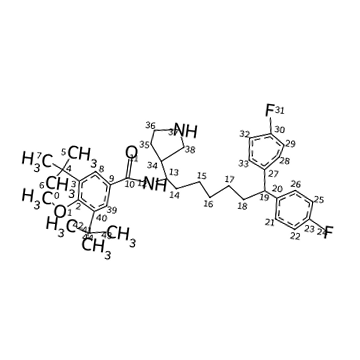 COc1c(C(C)(C)C)cc(C(=O)NC(CCCCCC(c2ccc(F)cc2)c2ccc(F)cc2)C2CCNC2)cc1C(C)(C)C